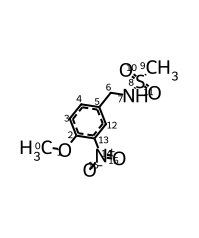 COc1ccc(CNS(C)(=O)=O)cc1[N+](=O)[O-]